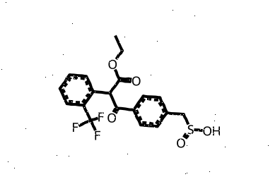 CCOC(=O)C(C(=O)c1ccc(CS(=O)O)cc1)c1ccccc1C(F)(F)F